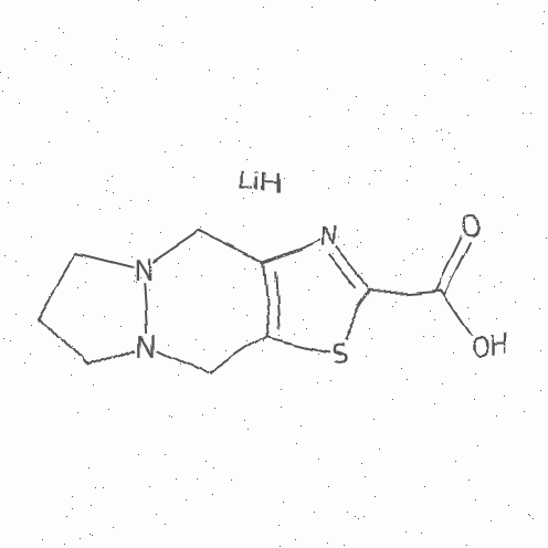 O=C(O)c1nc2c(s1)CN1CCCN1C2.[LiH]